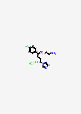 Cl.Cl.NCCON=C(CCCn1ccnc1)c1ccc(F)cc1